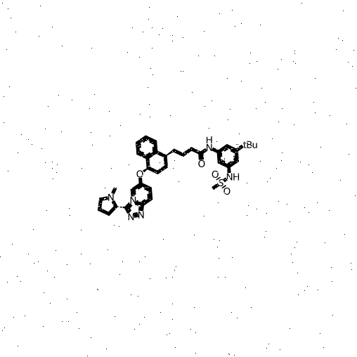 CN1CCC[C@H]1c1nnc2ccc(O[C@@H]3CC[C@H](CCCC(=O)Nc4cc(NS(C)(=O)=O)cc(C(C)(C)C)c4)c4ccccc43)cn12